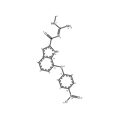 CNC(N)=NC(=O)c1cc2cccc(Oc3ccc([N+](=O)[O-])cc3)c2[nH]1